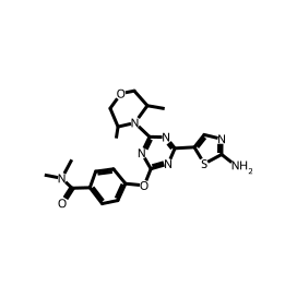 CC1COCC(C)N1c1nc(Oc2ccc(C(=O)N(C)C)cc2)nc(-c2cnc(N)s2)n1